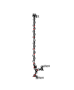 CCCCCCOc1cc(C)cc(COc2cc(Cn3cc(COCCOCCOCCOCCOCCOCCOCCOCCOCCOCCOCCOCCOCCOCCOCCOCCP(=O)(OCC)OCC)nn3)cc(OCc3cc(C)cc(OCCCCCC)c3)c2)c1